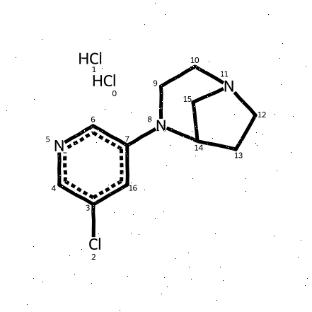 Cl.Cl.Clc1cncc(N2CCN3CCC2C3)c1